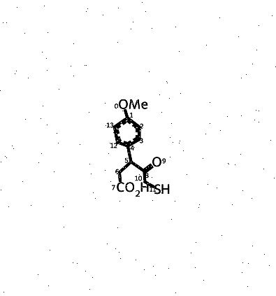 COc1ccc(C(CC(=O)O)C(=O)CS)cc1